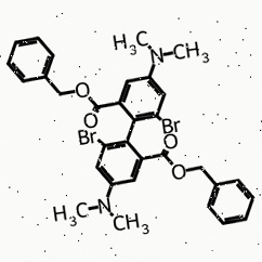 CN(C)c1cc(Br)c(-c2c(Br)cc(N(C)C)cc2C(=O)OCc2ccccc2)c(C(=O)OCc2ccccc2)c1